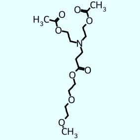 COCCOCCOC(=O)CCN(CCOC(C)=O)CCOC(C)=O